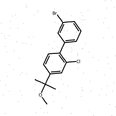 COC(C)(C)c1ccc(-c2cccc(Br)c2)c(Cl)c1